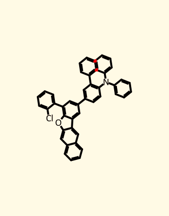 Clc1ccccc1-c1cc(-c2ccc(N(c3ccccc3)c3ccccc3)c(-c3ccccc3)c2)cc2c1oc1cc3ccccc3cc12